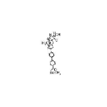 COC(CO)c1ccc(-c2ccc(C3=NO[C@@H](C[C@](C)(C(=O)NO)S(C)(=O)=O)C3)cc2)cc1